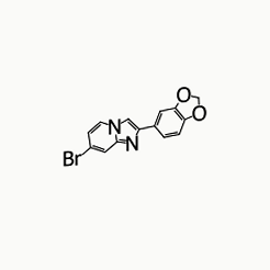 Brc1ccn2cc(-c3ccc4c(c3)OCO4)nc2c1